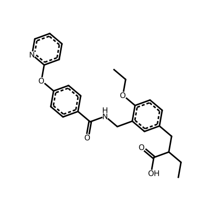 CCOc1ccc(CC(CC)C(=O)O)cc1CNC(=O)c1ccc(Oc2ccccn2)cc1